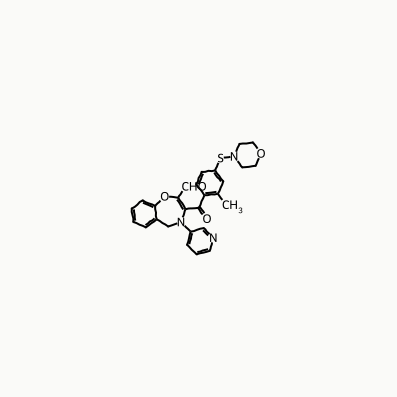 Cc1cc(SN2CCOCC2)ccc1C(=O)C1=C(C=O)Oc2ccccc2CN1c1cccnc1